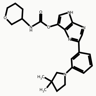 CC1(C)CCN(c2cccc(-c3cnc4[nH]cc(OC(=O)NC5CCCOC5)c4n3)c2)C1